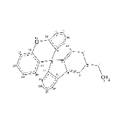 CCC1C=C2C(=CC1)C1(c3ccccc3Oc3ccccc31)c1ccccc12